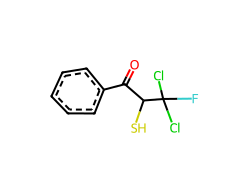 O=C(c1ccccc1)C(S)C(F)(Cl)Cl